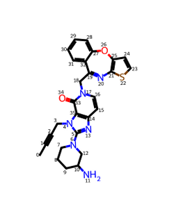 CC#CCn1c(N2CCCC(N)C2)nc2ccn(CC3=Nc4sccc4Oc4ccccc43)c(=O)c21